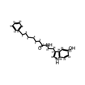 O=C(CCCCCCc1ccccc1)NCCc1c[nH]c2ccc(O)cc12